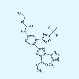 CCNC(=O)Nc1cc(-c2nc(C(F)(F)F)cs2)c(-c2nc(-c3ncnn3C)c(C(=O)OC)s2)cn1